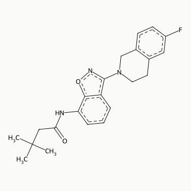 CC(C)(C)CC(=O)Nc1cccc2c(N3CCc4cc(F)ccc4C3)noc12